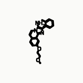 COCCOc1ccc2ccn3c(N)c(-c4ccccc4C)nc3c2c1